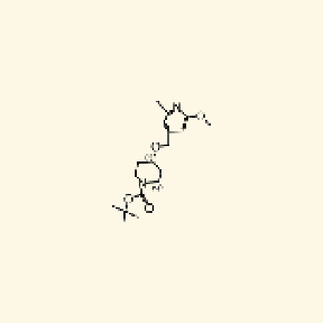 COc1cc(CO[C@H]2CCN(C(=O)OC(C)(C)C)[C@@H](C)C2)cc(C)n1